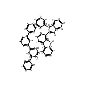 c1ccc(-c2cccc(-c3nc(-c4ccccc4)nc(-c4cccc5sc6c(-c7nc8ccccc8n7-c7ccccc7)cccc6c45)n3)c2)cc1